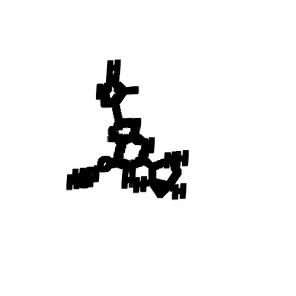 Cc1[nH]ncc1-c1cc2nc([C@H]3NC[C@@H]4C[C@@H]43)[nH]c(=O)c2s1.Cl.Cl